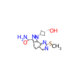 CSc1ncc2ccc3c(C(N)=O)nn([C@H]4C[C@@H](CO)C4)c3c2n1